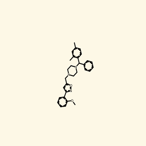 COc1ccccc1-c1cc(CN2CCN(C(c3ccccc3)c3ccc(C)cc3C)CC2)on1